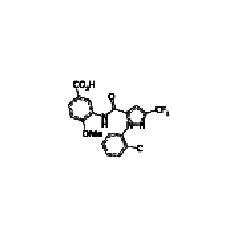 COc1ccc(C(=O)O)cc1NC(=O)c1cc(C(F)(F)F)nn1-c1ccccc1Cl